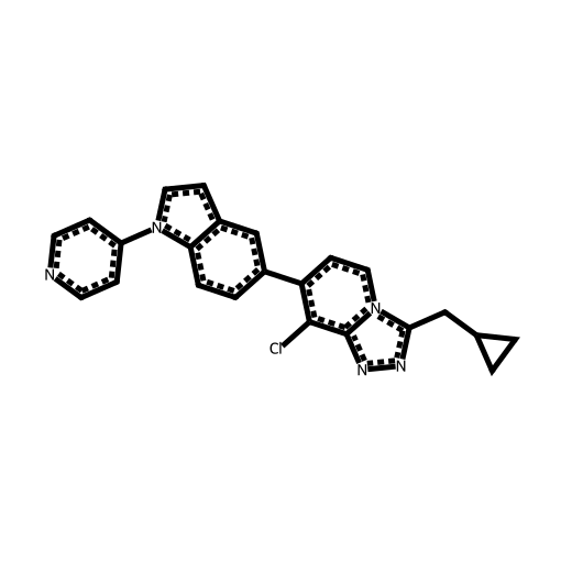 Clc1c(-c2ccc3c(ccn3-c3ccncc3)c2)ccn2c(CC3CC3)nnc12